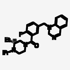 CC[C@@H]1CN(C(=O)c2cc(CN3CN=Cc4ccccc43)ccc2F)CCN1C(C)C